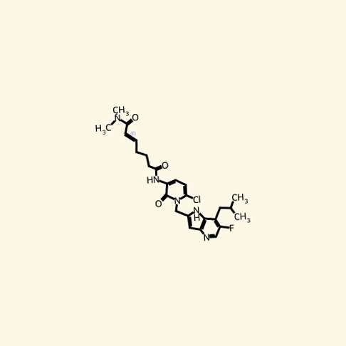 CC(C)Cc1c(F)cnc2cc(Cn3c(Cl)ccc(NC(=O)CCC/C=C/C(=O)N(C)C)c3=O)[nH]c12